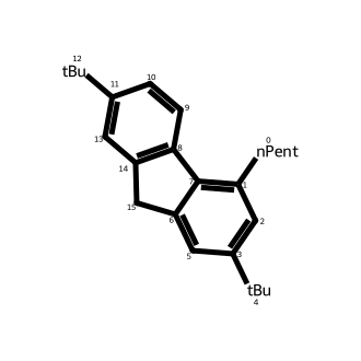 CCCCCc1cc(C(C)(C)C)cc2c1-c1ccc(C(C)(C)C)cc1C2